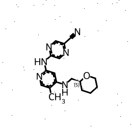 Cc1cnc(Nc2cnc(C#N)cn2)cc1NC[C@@H]1CCCCO1